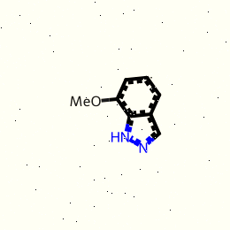 COc1c[c]cc2cn[nH]c12